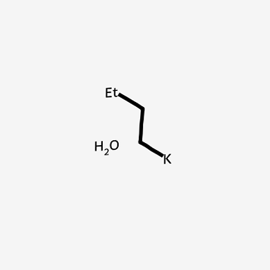 CCC[CH2][K].O